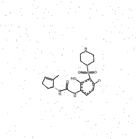 CC1=CCC[C@H]1NC(=O)Nc1ccc(Cl)c(S(=O)(=O)N2CCNCC2)c1O